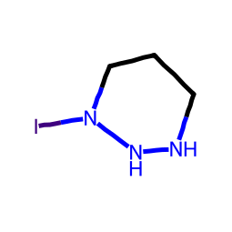 IN1CCCNN1